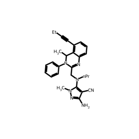 CCC#Cc1cccc2c1C(C)N(c1ccccc1)C(CN(CCC)c1c(C#N)c(N)nn1C)=N2